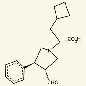 O=C[C@H]1CN([C@H](CC2CCC2)C(=O)O)C[C@@H]1c1ccccc1